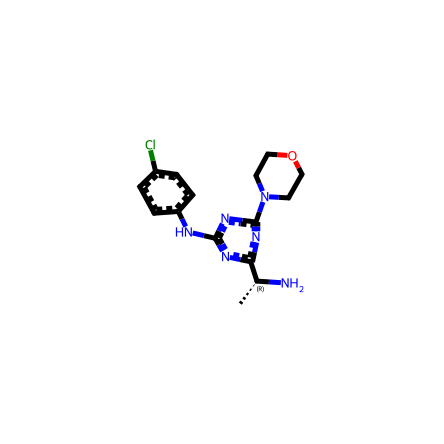 C[C@@H](N)c1nc(Nc2ccc(Cl)cc2)nc(N2CCOCC2)n1